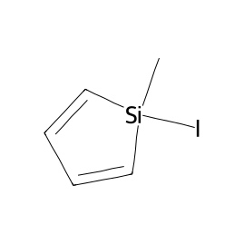 C[Si]1(I)C=CC=C1